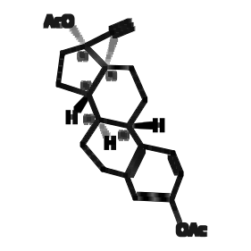 C#C[C@]1(OC(C)=O)CC[C@H]2[C@@H]3CCc4cc(OC(C)=O)ccc4[C@H]3CC[C@@]21C